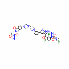 O=C1CCC(N2Cc3cc(N4CCN(CC5CCN(c6cccc(-c7cnc8[nH]cc(C(=O)c9c(F)ccc(NS(=O)(=O)N%10CC[C@@H](F)C%10)c9F)c8c7)c6)CC5)CC4)ccc3C2=O)C(=O)N1